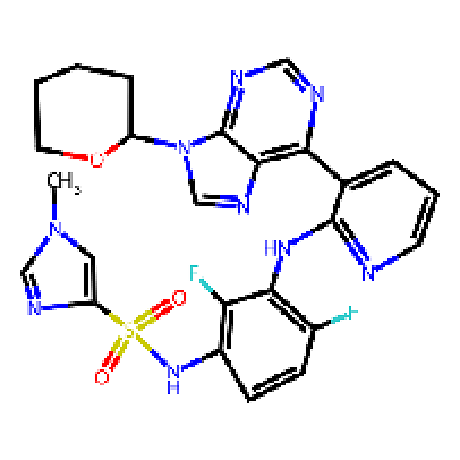 Cn1cnc(S(=O)(=O)Nc2ccc(F)c(Nc3ncccc3-c3ncnc4c3ncn4C3CCCCO3)c2F)c1